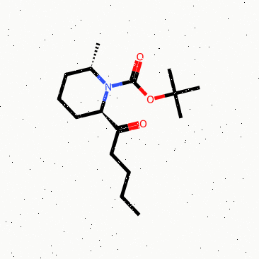 CCCCC(=O)[C@H]1CCC[C@H](C)N1C(=O)OC(C)(C)C